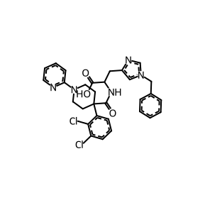 O=C(O)C(Cc1cn(Cc2ccccc2)cn1)NC(=O)C1(c2cccc(Cl)c2Cl)CCN(c2ccccn2)CC1